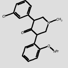 CCCOc1ccccc1C1CN(C)CC(c2cccc(Cl)c2)C1=O